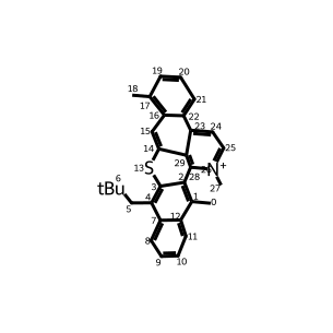 Cc1c2c(c(CC(C)(C)C)c3ccccc13)Sc1cc3c(C)cccc3c3cc[n+](C)c-2c13